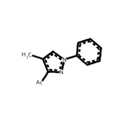 CC(=O)c1nn(-c2ccccc2)cc1C